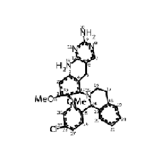 COc1[c]cc(Cc2cnc(N)nc2N)c(N2CCc3ccccc3C2c2ccc(Cl)cn2)c1OC